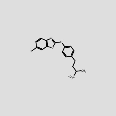 CC(COc1ccc(Oc2nc3ccc(Cl)cc3o2)cc1)C(=O)O